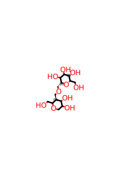 OCC1O[C@H](COC[C@@H]2C(CO)OCC(O)C2O)C(O)C(O)[C@H]1O